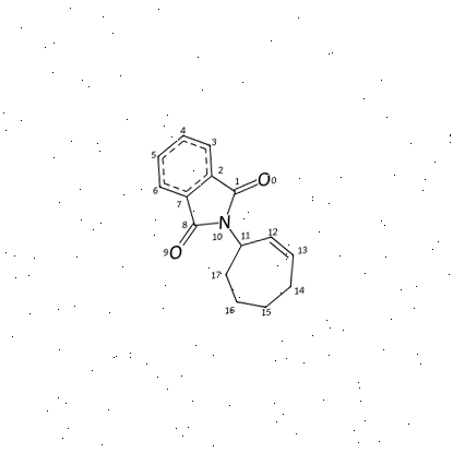 O=C1c2ccccc2C(=O)N1C1C=CCCCC1